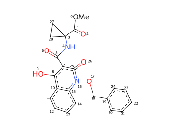 COC(=O)C1(NC(=O)c2c(O)c3ccccc3n(OCc3ccccc3)c2=O)CC1